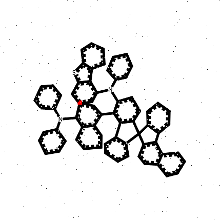 c1ccc(N(c2ccccc2)c2ccc(-c3c(N(c4ccccc4)c4cccc5sc6ccccc6c45)ccc4c3-c3ccccc3C43c4ccccc4-c4c3ccc3ccccc43)c3ccccc23)cc1